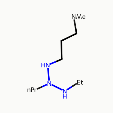 CCCN(NCC)NCCCNC